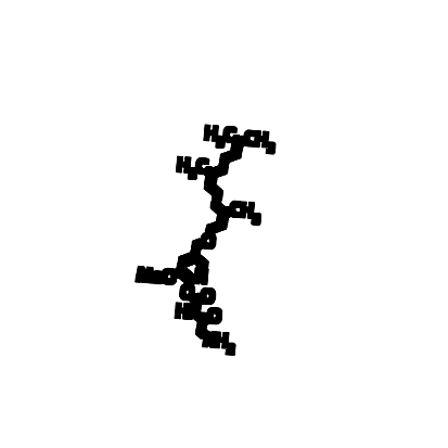 COc1cc(COCC=C(C)CCC=C(C)CCC=C(C)C)cnc1OC(=O)NC(=O)CN